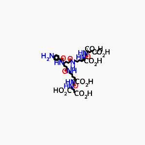 Nc1ccc(C(=O)NC(CCC(=O)NCCCC[C@H](NC(=O)NC(CCC(=O)O)C(=O)O)C(=O)O)CCC(=O)NCCCC[C@H](NC(=O)N[C@@H](CCC(=O)O)C(=O)O)C(=O)O)cc1